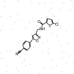 N#Cc1ccc(-c2cc(CNC(=O)c3ccc(Cl)s3)no2)cc1